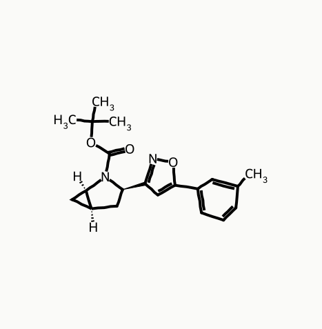 Cc1cccc(-c2cc([C@H]3C[C@H]4C[C@H]4N3C(=O)OC(C)(C)C)no2)c1